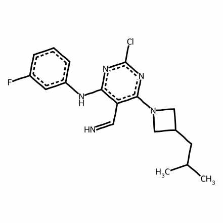 CC(C)CC1CN(c2nc(Cl)nc(Nc3cccc(F)c3)c2C=N)C1